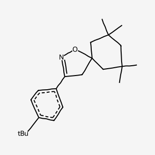 CC1(C)CC(C)(C)CC2(CC(c3ccc(C(C)(C)C)cc3)=NO2)C1